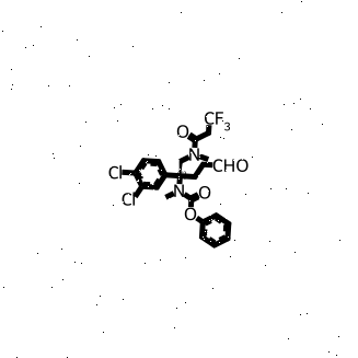 CN(C[C@](CCC=O)(c1ccc(Cl)c(Cl)c1)N(C)C(=O)Oc1ccccc1)C(=O)CC(F)(F)F